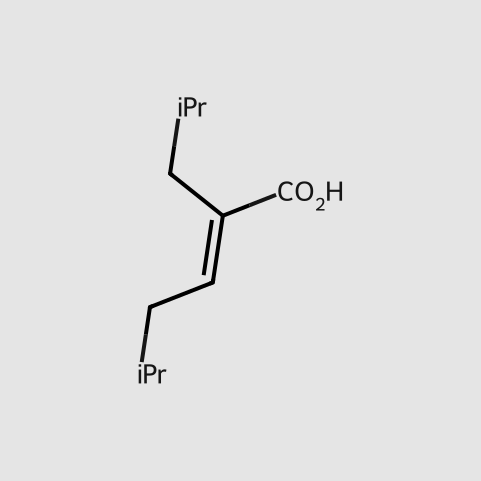 CC(C)CC=C(CC(C)C)C(=O)O